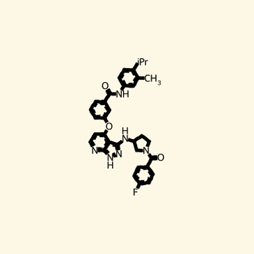 Cc1cc(NC(=O)c2cccc(Oc3ccnc4[nH]nc(NC5CCN(C(=O)c6ccc(F)cc6)C5)c34)c2)ccc1C(C)C